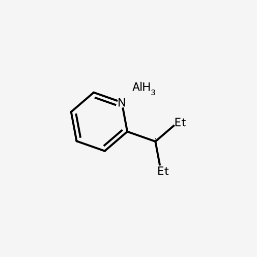 CC[C](CC)c1ccccn1.[AlH3]